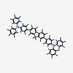 Cc1c(C)c(C)c(N(c2c(C)c(C)c(C)c(C)c2C)c2c(C)c(C)c(-c3c(C)c(C)c4c(c3C)C(C)(C)c3c(C)c(-c5c(C)c(C)c(N(c6c(C)c(C)c(C)c(C)c6C)c6c(C)c(C)c(C)c(C)c6C)c(C)c5C)c(C)c(C)c3-4)c(C)c2C)c(C)c1C